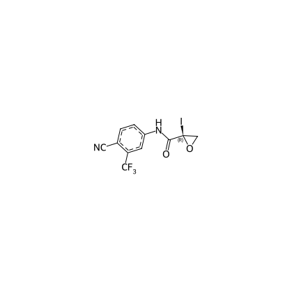 N#Cc1ccc(NC(=O)[C@]2(I)CO2)cc1C(F)(F)F